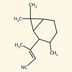 CC(=CC#N)C1C(C)CCC2C1C2(C)C